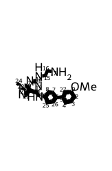 COc1cccc(-c2ccc(Nc3nc(NCCN)nc4c3cnn4C)cc2)c1